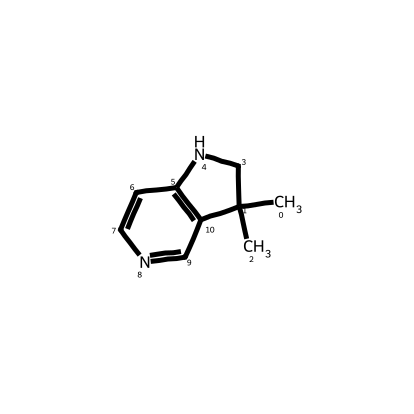 CC1(C)CNc2ccncc21